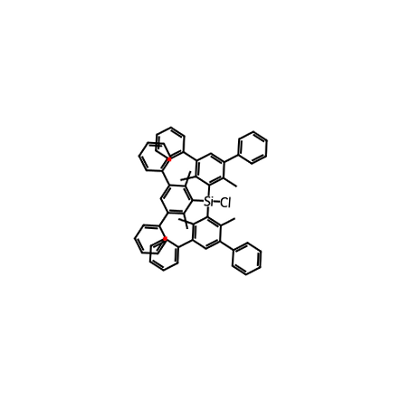 Cc1c(-c2ccccc2)cc(-c2ccccc2)c(C)c1[Si](Cl)(c1c(C)c(-c2ccccc2)cc(-c2ccccc2)c1C)c1c(C)c(-c2ccccc2)cc(-c2ccccc2)c1C